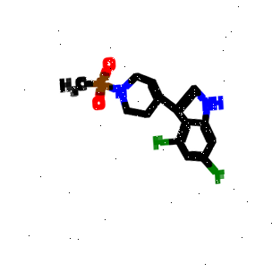 CS(=O)(=O)N1CC=C(c2c[nH]c3cc(F)cc(F)c23)CC1